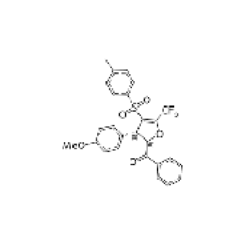 COc1ccc([C@@H]2C(S(=O)(=O)c3ccc(C)cc3)=C(C(F)(F)F)O[C@H]2C(=O)c2ccccc2)cc1